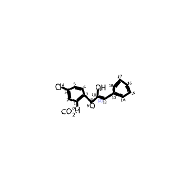 O=C(O)c1cc(Cl)ccc1C(=O)/C(O)=C/c1ccccc1